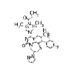 C=CC(=O)N1[C@H](C)CN(c2nc(=O)n3c4c(c(-c5ccc(F)cc5F)c(C)cc24)SCC(n2cccn2)C3)C[C@@H]1C